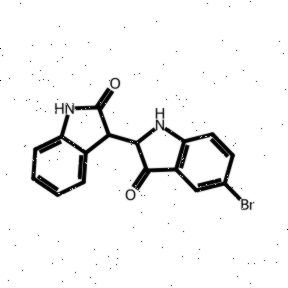 O=C1c2cc(Br)ccc2NC1C1C(=O)Nc2ccccc21